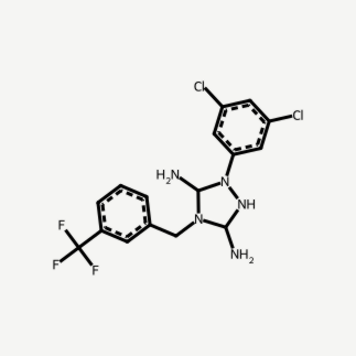 NC1NN(c2cc(Cl)cc(Cl)c2)C(N)N1Cc1cccc(C(F)(F)F)c1